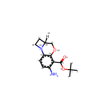 CC(C)(C)OC(=O)c1c(N)ccc2c1OC[C@H]1CCN21